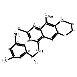 COc1c2c(cc3c(N[C@H](C)c4cc(N)cc(C(F)(F)F)c4)nc(C)nc13)OCCO2